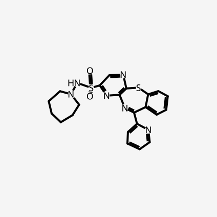 O=S(=O)(NN1CCCCCC1)c1cnc2c(n1)N=C(c1ccccn1)c1ccccc1S2